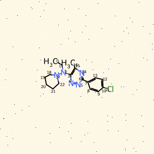 CCN(c1nnc(-c2ccc(Cl)cc2)nc1C)N1CCCCC1